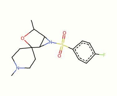 CC1OC2(CCN(C)CC2)C2C1N2S(=O)(=O)c1ccc(F)cc1